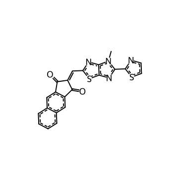 Cn1c(-c2nccs2)nc2sc(C=C3C(=O)c4cc5ccccc5cc4C3=O)nc21